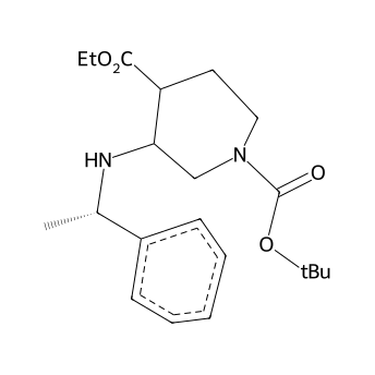 CCOC(=O)C1CCN(C(=O)OC(C)(C)C)CC1N[C@@H](C)c1ccccc1